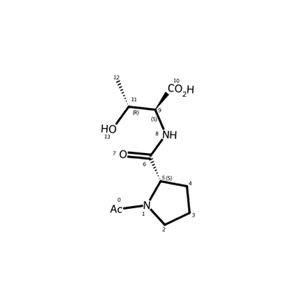 CC(=O)N1CCC[C@H]1C(=O)N[C@H](C(=O)O)[C@@H](C)O